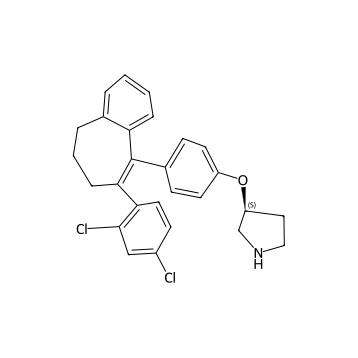 Clc1ccc(C2=C(c3ccc(O[C@H]4CCNC4)cc3)c3ccccc3CCC2)c(Cl)c1